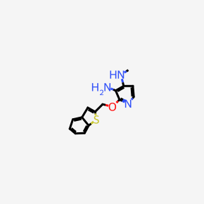 CNc1ccnc(OCc2cc3ccccc3s2)c1N